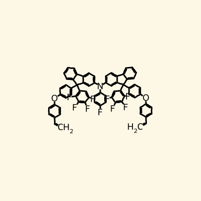 C=Cc1ccc(Oc2ccc(C3(c4cc(F)c(F)c(F)c4F)c4ccccc4-c4ccc(N(c5ccc(F)cc5)c5ccc6c(c5)C(c5ccc(Oc7ccc(C=C)cc7)cc5)(c5cc(F)c(F)c(F)c5F)c5ccccc5-6)cc43)cc2)cc1